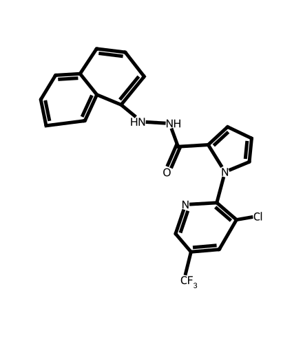 O=C(NNc1cccc2ccccc12)c1cccn1-c1ncc(C(F)(F)F)cc1Cl